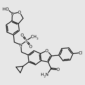 CS(=O)(=O)N(Cc1ccc2c(c1)COB2O)Cc1cc2oc(-c3ccc(Cl)cc3)c(C(N)=O)c2cc1C1CC1